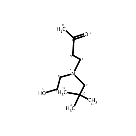 CC(=O)CCN(CCO)CC(C)(C)C